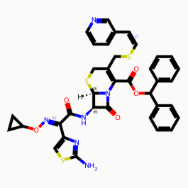 Nc1nc(/C(=N\OC2CC2)C(=O)N[C@@H]2C(=O)N3C(C(=O)OC(c4ccccc4)c4ccccc4)=C(CS/C=C\c4cccnc4)CS[C@H]23)cs1